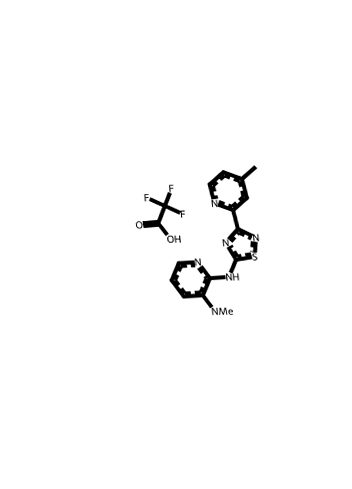 CNc1cccnc1Nc1nc(-c2cc(C)ccn2)ns1.O=C(O)C(F)(F)F